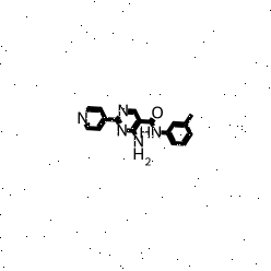 Cc1cccc(NC(=O)c2cnc(-c3ccncc3)nc2N)c1